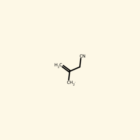 [CH2]C(=C)CC#N